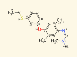 CCN(C)/C=N\c1cc(C)c(Oc2cccc(SCC(F)(F)F)c2)cc1C